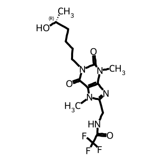 C[C@@H](O)CCCCn1c(=O)c2c(nc(CNC(=O)C(F)(F)F)n2C)n(C)c1=O